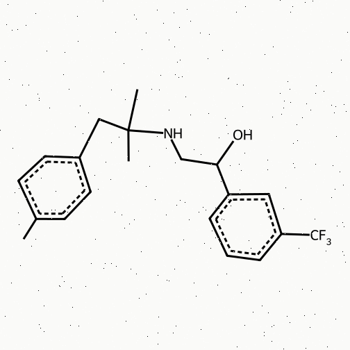 Cc1ccc(CC(C)(C)NCC(O)c2cccc(C(F)(F)F)c2)cc1